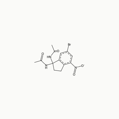 CC(=O)NC1(NC(C)=O)CCc2c([N+](=O)[O-])cc(Br)cc21